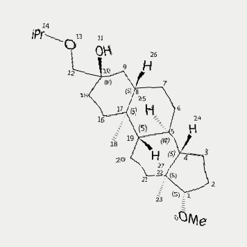 CO[C@H]1CC[C@H]2[C@@H]3CC[C@H]4C[C@@](O)(COC(C)C)CC[C@]4(C)[C@H]3CC[C@]12C